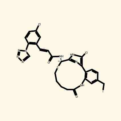 O=C(/C=C/c1cc(Cl)ccc1-n1cnnn1)N[C@H]1CCCCCC(=O)Nc2cc(CI)ccc2-c2nc1[nH]c2Cl